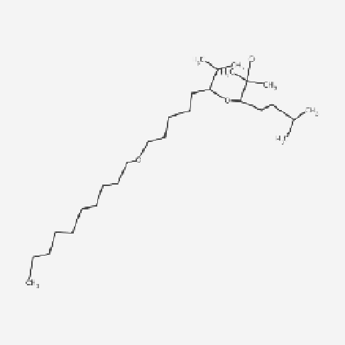 CCCCCCCCCCOCCCCCC(OC(CCC(C)C)C(C)(C)[O])C(C)C